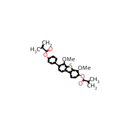 C=C(C)C(=O)Oc1ccc(-c2ccc3c(sc4c(OC)c(OC(=O)C(=C)C)ccc43)c2OC)cc1